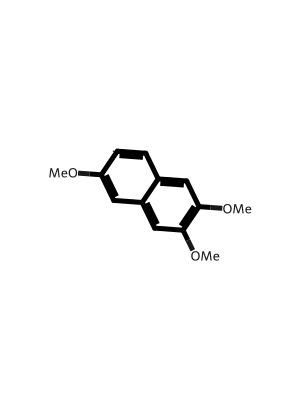 COc1[c]cc2cc(OC)c(OC)cc2c1